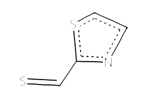 S=Cc1nccs1